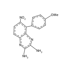 COc1ccc(-c2c([N+](=O)[O-])ccc3nc(N)c(N)nc23)cc1